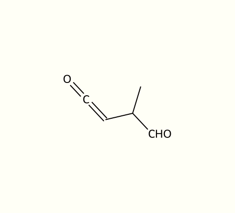 CC(C=O)C=C=O